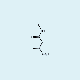 CCNC(=O)CC(C)C(=O)O